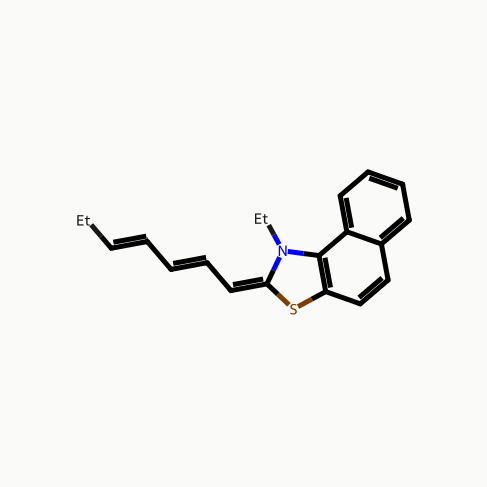 CCC=[C]C=CC=C1Sc2ccc3ccccc3c2N1CC